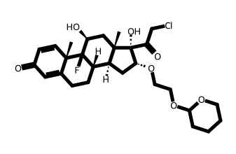 C[C@]12C=CC(=O)C=C1CC[C@H]1[C@@H]3C[C@@H](OCCOC4CCCCO4)[C@](O)(C(=O)CCl)[C@@]3(C)C[C@H](O)C12F